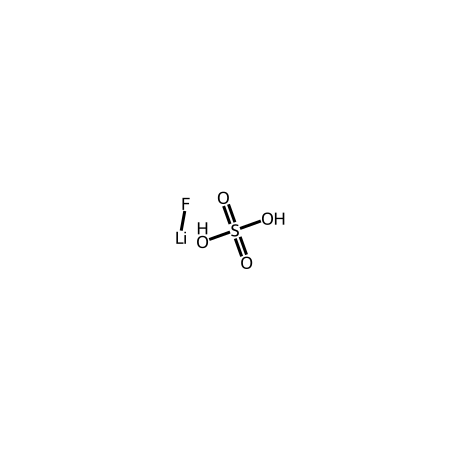 O=S(=O)(O)O.[Li][F]